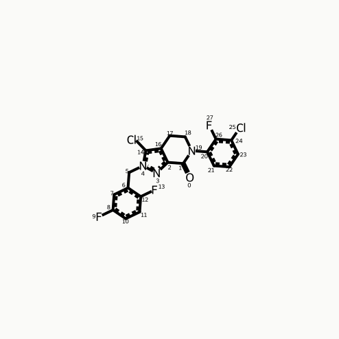 O=C1c2nn(Cc3cc(F)ccc3F)c(Cl)c2CCN1c1cccc(Cl)c1F